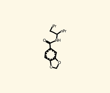 CCCC(CC(C)C)NC(=O)c1ccc2c(c1)OCO2